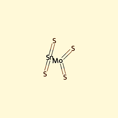 [S]=[Mo]=[S].[S]=[Sn]=[S]